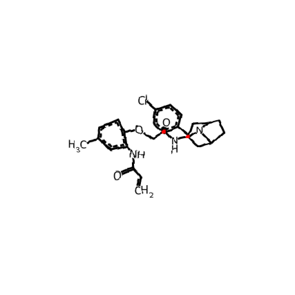 C=CC(=O)Nc1cc(C)ccc1OCC(=O)NC1CC2CCC(C1)N2Cc1ccc(Cl)cc1